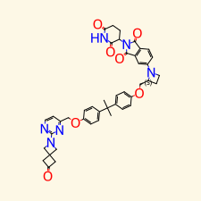 CC(C)(c1ccc(OCc2ccnc(N3CC4(CC(=O)C4)C3)n2)cc1)c1ccc(OC[C@@H]2CCN2c2ccc3c(c2)C(=O)N(C2CCC(=O)NC2=O)C3=O)cc1